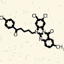 Cc1ccc2nc3n(CCCCC(=O)c4ccc(Cl)cc4)c4cc(Cl)c(Cl)cc4n3c(=O)c2c1